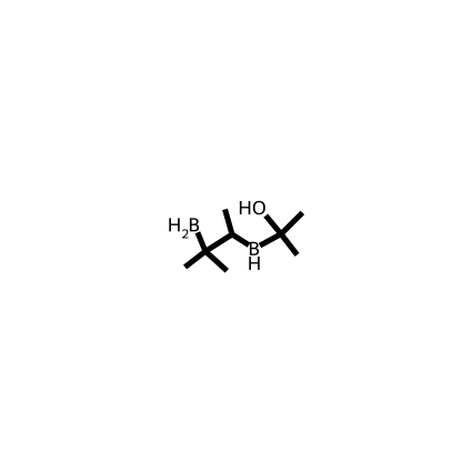 BC(C)(C)C(C)BC(C)(C)O